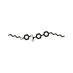 CCCCCCCc1ccc(-c2ccc(C(=O)Oc3ccc(OCCCCCC)cc3)cc2)cc1